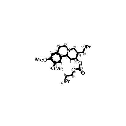 COc1cc2c(cc1OC)C1CC(OC(=O)OCCC(C)C)C(CC(C)C)CN1CC2